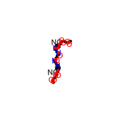 C=C(C)C(=O)OCCOC(=O)/C(C#N)=C/c1ccc(N(C)CCCN(C)C(=O)CCCC(=O)N(C)CCCN(C)c2ccc(/C=C(\C#N)C(=O)OCCOC(=O)C(=C)C)cc2)cc1